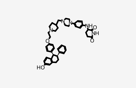 O=C1CCC(Nc2ccc(N3CCN(CC4CCN(CCOc5ccc([C@@H]6c7ccc(O)cc7CC[C@@H]6c6ccccc6)cc5)CC4)CC3)cc2)C(=O)N1